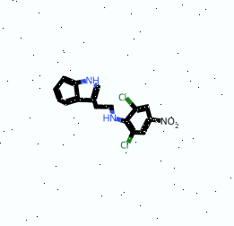 O=[N+]([O-])c1cc(Cl)c(NCCc2c[nH]c3ccccc23)c(Cl)c1